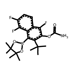 CC(C)(C)c1c(OC(N)=O)c(F)c2ccc(F)c(F)c2c1B1OC(C)(C)C(C)(C)O1